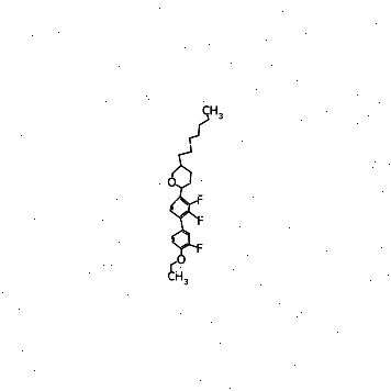 CCCCCCCC1CCC(c2ccc(-c3ccc(OCC)c(F)c3)c(F)c2F)OC1